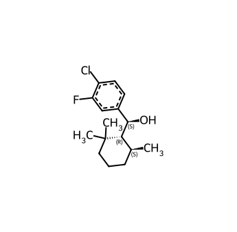 C[C@H]1CCCC(C)(C)[C@@H]1[C@H](O)c1ccc(Cl)c(F)c1